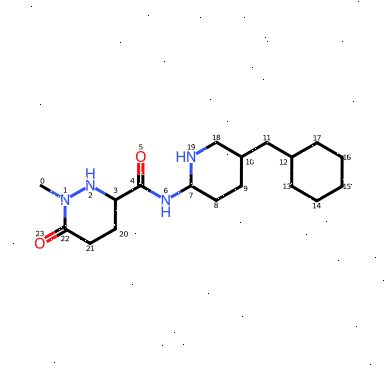 CN1NC(C(=O)NC2CCC(CC3CCCCC3)CN2)CCC1=O